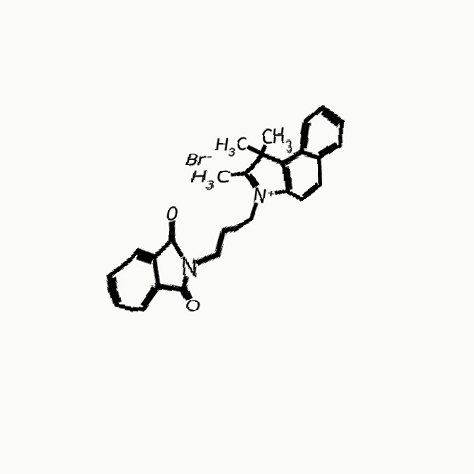 CC1=[N+](CCCN2C(=O)c3ccccc3C2=O)c2ccc3ccccc3c2C1(C)C.[Br-]